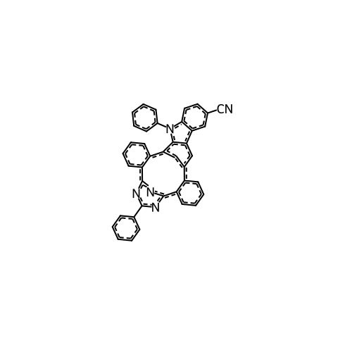 N#Cc1ccc2c(c1)c1cc3cc(c4ccccc4c4nc(-c5ccccc5)nc(n4)c4ccccc34)c1n2-c1ccccc1